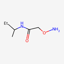 CCC(C)NC(=O)CON